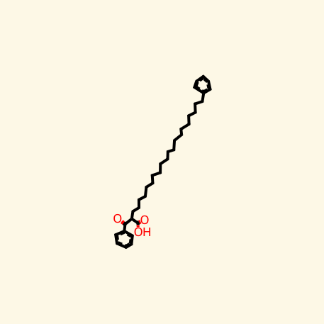 O=C(O)C(CCCCCCCCCCCCCCCCCCCCc1ccccc1)C(=O)c1ccccc1